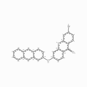 O=c1c2ccc(Br)cc2sc2cc(Oc3ccc4cc5ccccc5cc4c3)ccc12